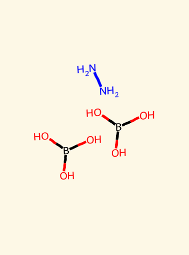 NN.OB(O)O.OB(O)O